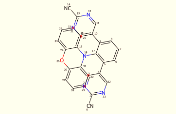 N#Cc1ncc(-c2cccc(-c3cnc(C#N)nc3)c2N2c3ccccc3Oc3ccccc32)cn1